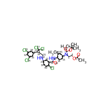 CC(=O)OCCN(C(=O)OC(C)(C)C)c1ccc(NC(=O)c2cc(NCC3C(c4cc(Cl)cc(Cl)c4)C3(Cl)Cl)ccc2Cl)c(C)c1